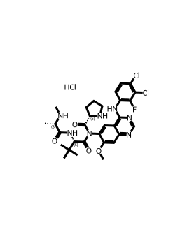 CN[C@@H](C)C(=O)N[C@H](C(=O)N(C(=O)[C@@H]1CCCN1)c1cc2c(Nc3ccc(Cl)c(Cl)c3F)ncnc2cc1OC)C(C)(C)C.Cl